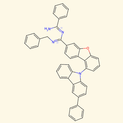 N/C(=N\C(=N/Cc1ccccc1)c1ccc2c(c1)oc1cccc(-n3c4ccccc4c4cc(-c5ccccc5)ccc43)c12)c1ccccc1